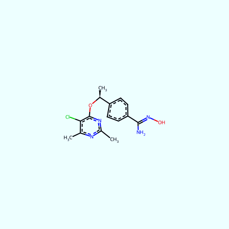 Cc1nc(C)c(Cl)c(O[C@@H](C)c2ccc(/C(N)=N/O)cc2)n1